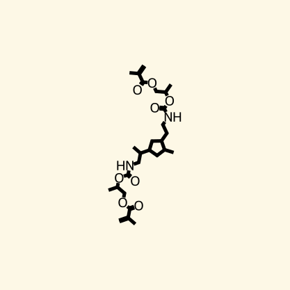 C=C(C)C(=O)OCC(C)OC(=O)NCCC1CC(C(C)CNC(=O)OC(C)COC(=O)C(=C)C)CC1C